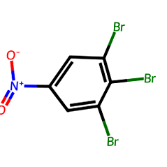 O=[N+]([O-])c1cc(Br)c(Br)c(Br)c1